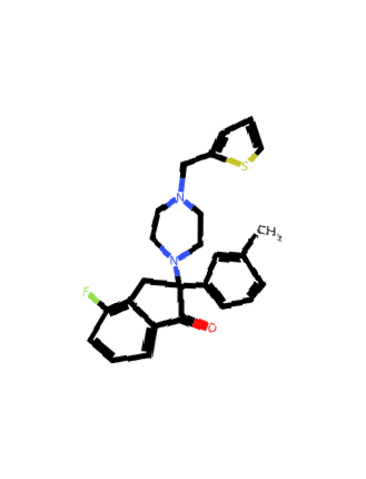 Cc1cccc(C2(N3CCN(Cc4cccs4)CC3)Cc3c(F)cccc3C2=O)c1